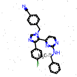 C[C@H](Nc1nccc(-c2c(-c3ccc(F)cc3)ncn2Cc2ccc(C#N)cc2)n1)c1ccccc1